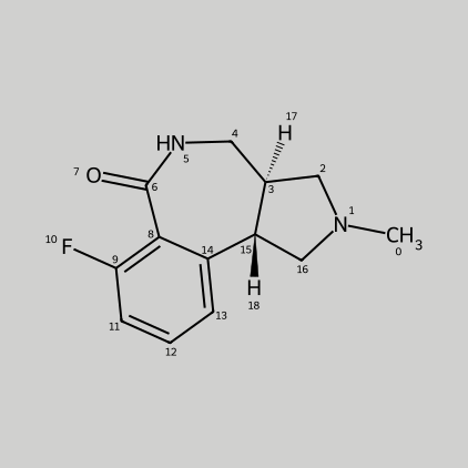 CN1C[C@@H]2CNC(=O)c3c(F)cccc3[C@H]2C1